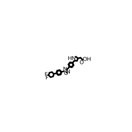 O=C(O)CC1CNC(c2ccc(-c3noc(-c4ccc(C5CCC(F)(F)CC5)cc4)n3)cc2)C1